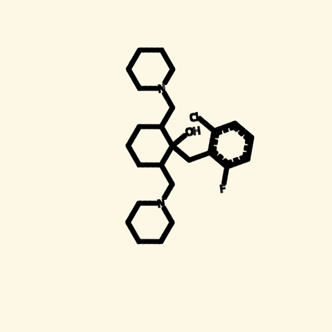 OC1(Cc2c(F)cccc2Cl)C(CN2CCCCC2)CCCC1CN1CCCCC1